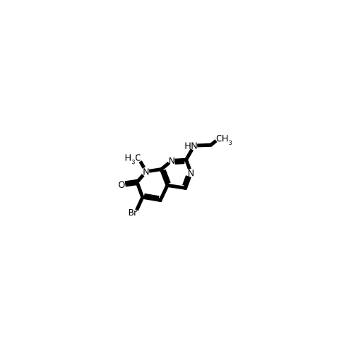 CCNc1ncc2cc(Br)c(=O)n(C)c2n1